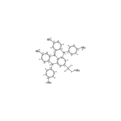 CC(C)(C)CC(C)(C)c1cc2c3c(c1)N(c1ccc(C(C)(C)C)cc1)c1ccc(C(C)(C)C)cc1B3c1cc(C(C)(C)C)ccc1N2c1ccc(C(C)(C)C)cc1